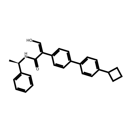 C[C@@H](NC(=O)C(=CO)c1ccc(-c2ccc(C3CCC3)cc2)cc1)c1ccccc1